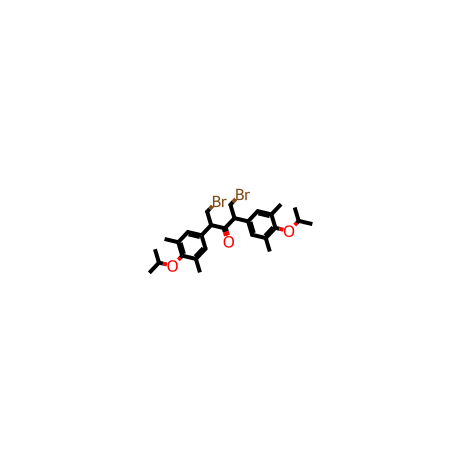 Cc1cc(C(CBr)C(=O)C(CBr)c2cc(C)c(OC(C)C)c(C)c2)cc(C)c1OC(C)C